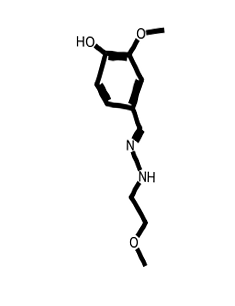 COCCNN=Cc1ccc(O)c(OC)c1